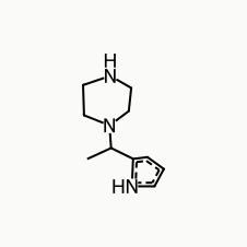 CC(c1ccc[nH]1)N1CCNCC1